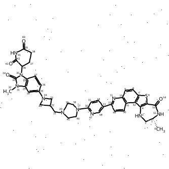 C[C@@H]1CNc2c(sc3ccc4nc(-c5ccc(N6CCN(CC7CN(c8ccc9c(c8)n(C)c(=O)n9C8CCC(=O)NC8=O)C7)CC6)nc5)ccc4c23)C(=O)N1